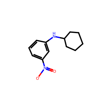 O=[N+]([O-])c1cccc(NC2CCCCC2)c1